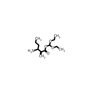 C=C(C(=O)OC(OCC)OCC)C([SiH3])CCC